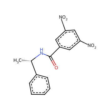 C[C@H](NC(=O)c1cc([N+](=O)[O-])cc([N+](=O)[O-])c1)c1ccccc1